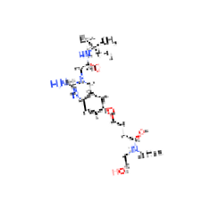 CCCCCCN(CCO)C(=O)CCCOc1ccc2c(c1)CN(CC(=O)NC(C)(C)CC)C(N)=N2